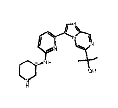 CC(C)(O)c1cn2c(-c3cccc(N[C@@H]4CCCNC4)n3)cnc2cn1